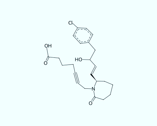 O=C(O)CCCC#CCN1C(=O)CCCC[C@@H]1/C=C/C(O)Cc1ccc(Cl)cc1